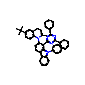 CC1=CCc2cc(C(C)(C)C)ccc2N1c1ccc2c3ccccc3n(-c3ccccc3)c2c1-c1nc(-c2ccccc2)nc(-c2ccccc2)n1